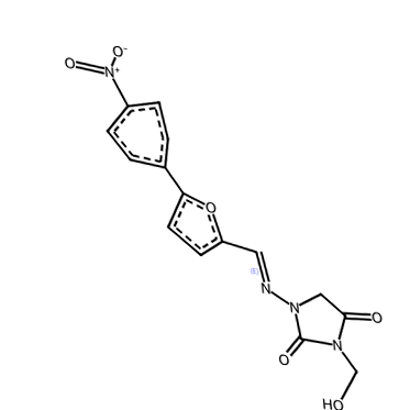 O=C1CN(/N=C/c2ccc(-c3ccc([N+](=O)[O-])cc3)o2)C(=O)N1CO